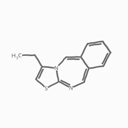 CCC1=CSC2=NC=c3ccccc3=CN12